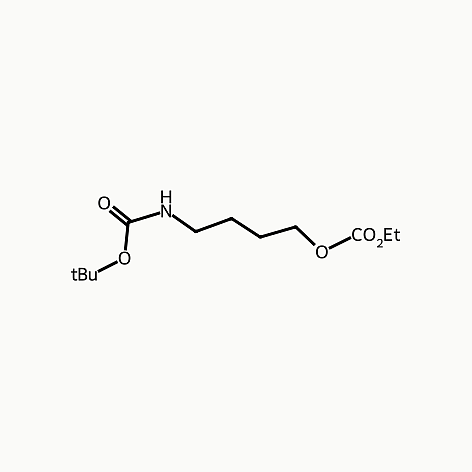 CCOC(=O)OCCCCNC(=O)OC(C)(C)C